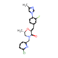 Cc1cn(-c2ccc(C=C3O[C@@H](C)CN(Cc4cccc(Cl)n4)C3=O)cc2F)cn1